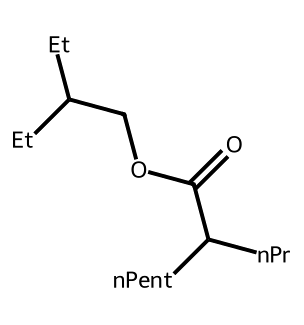 CCCCCC(CCC)C(=O)OCC(CC)CC